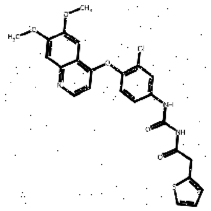 COc1cc2nccc(Oc3ccc(NC(=O)NC(=O)Cc4cccs4)cc3Cl)c2cc1OC